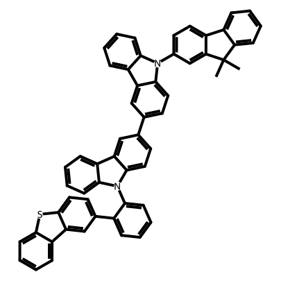 CC1(C)c2ccccc2-c2ccc(-n3c4ccccc4c4cc(-c5ccc6c(c5)c5ccccc5n6-c5ccccc5-c5ccc6sc7ccccc7c6c5)ccc43)cc21